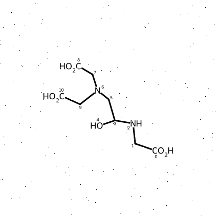 O=C(O)CNC(O)CN(CC(=O)O)CC(=O)O